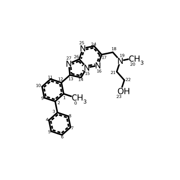 Cc1c(-c2ccccc2)cccc1-c1cn2nc(CN(C)CCO)cnc2n1